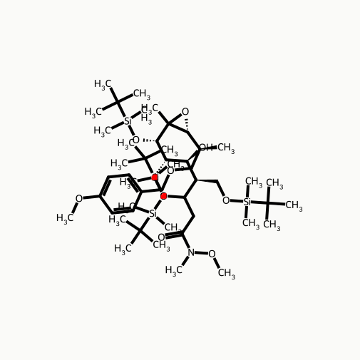 COc1ccc(COC[C@H](C)[C@H]2OC2(C)[C@@H](O[Si](C)(C)C(C)(C)C)[C@@H](CO[Si](C)(C)C(C)(C)C)[C@@H](O)[C@@H](CO[Si](C)(C)C(C)(C)C)C(CC(=O)N(C)OC)O[Si](C)(C)C(C)(C)C)cc1